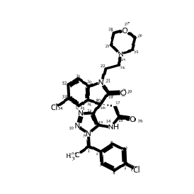 CC(c1ccc(Cl)cc1)n1nnc2c1NC(=O)C[C@]21C(=O)N(CCN2CCOCC2)c2ccc(Cl)cc21